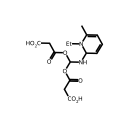 CCN1C(C)=CC=CC1NC(OC(=O)CC(=O)O)OC(=O)CC(=O)O